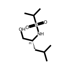 CC(C)C[C@H](CO)NS(=O)(=O)C(C)C